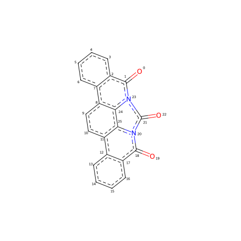 O=c1c2ccccc2c2ccc3c4ccccc4c(=O)n4c(=O)n1c2c34